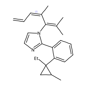 C=C/C=C(/C)C(=C(C)C)n1ccnc1-c1ccccc1C1(CC)CC1C